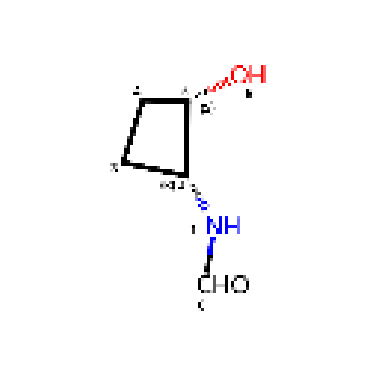 O=CN[C@@H]1CC[C@@H]1O